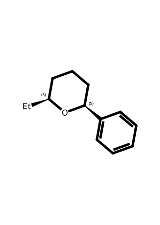 CC[C@H]1CCC[C@@H](c2ccccc2)O1